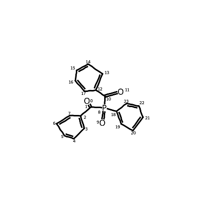 O=C(c1ccccc1)P(=O)(C(=O)c1ccccc1)c1ccccc1